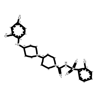 O=C(NS(=O)(=O)c1ccccc1Cl)N1CCC(N2CCC(Oc3ccc(Cl)cc3Cl)CC2)CC1